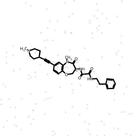 CN1CCC(C#Cc2ccc3c(c2)N(C)C(=O)[C@@H](NC(=O)C(=O)NCCc2ccccc2)CO3)CC1